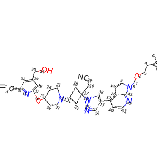 C[Si](C)(C)CCOCn1ccc2c(-c3cnn(C4(CC#N)CC(N5CCC(Oc6cc(CO)cc(C(F)(F)F)n6)CC5)C4)c3)ccnc21